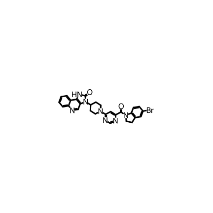 O=C(c1cc(N2CCC(n3c(=O)[nH]c4c5ccccc5ncc43)CC2)ncn1)N1CCc2cc(Br)ccc21